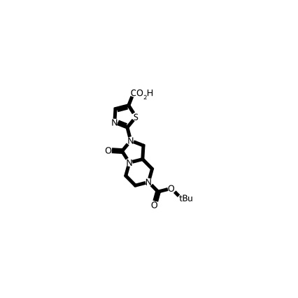 CC(C)(C)OC(=O)N1CCN2C(=O)N(c3ncc(C(=O)O)s3)CC2C1